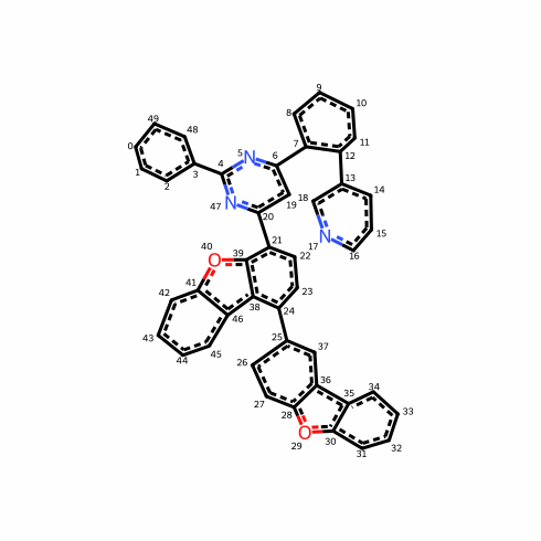 c1ccc(-c2nc(-c3ccccc3-c3cccnc3)cc(-c3ccc(-c4ccc5oc6ccccc6c5c4)c4c3oc3ccccc34)n2)cc1